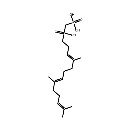 CC(C)=CCCC(C)=CCCC(C)=CCCP(=O)(O)CP(=O)(O)O